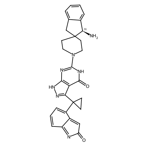 N[C@@H]1c2ccccc2CC12CCN(c1nc3[nH]nc(C4(c5cccc6c5=CC(=O)N=6)CC4)c3c(=O)[nH]1)CC2